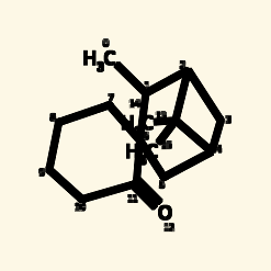 CC1C2CC(CC13CCCCC3=O)C2(C)C